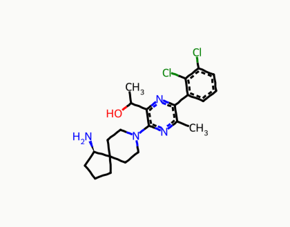 Cc1nc(N2CCC3(CCC[C@H]3N)CC2)c(C(C)O)nc1-c1cccc(Cl)c1Cl